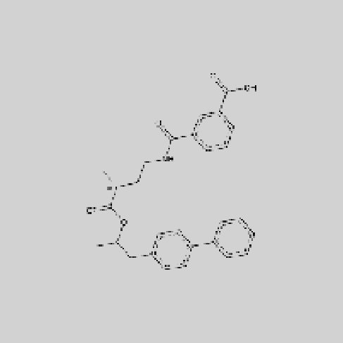 CC(Cc1ccc(-c2ccccc2)cc1)OC(=O)[C@H](C)CCNC(=O)c1cccc(C(=O)O)c1